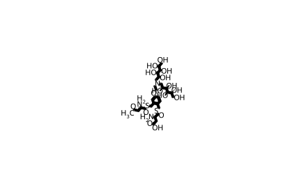 CC(=O)C[C@H](N)C(=O)SCc1cc(OCCN(C[C@H](O)[C@@H](O)[C@H](O)[C@H](O)CO)C[C@H](O)[C@@H](O)[C@H](O)[C@H](O)CO)ccc1CSC(=O)[C@@H](N)CC(=O)O